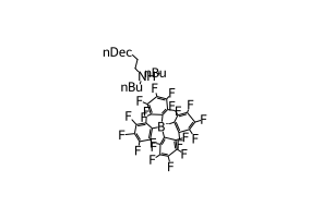 CCCCCCCCCCCC[NH+](CCCC)CCCC.Fc1c(F)c(F)c([B-](c2c(F)c(F)c(F)c(F)c2F)(c2c(F)c(F)c(F)c(F)c2F)c2c(F)c(F)c(F)c(F)c2F)c(F)c1F